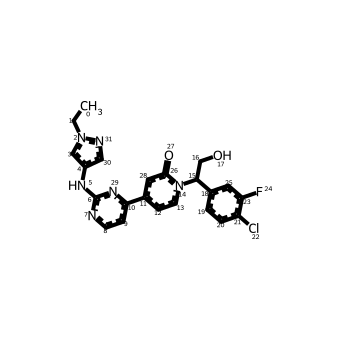 CCn1cc(Nc2nccc(-c3ccn(C(CO)c4ccc(Cl)c(F)c4)c(=O)c3)n2)cn1